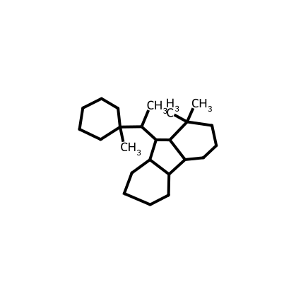 CC(C1C2CCCCC2C2CCCC(C)(C)C21)C1(C)CCCCC1